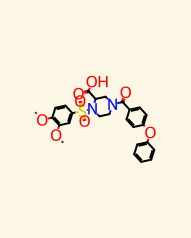 COc1ccc(S(=O)(=O)N2CCN(C(=O)c3ccc(Oc4ccccc4)cc3)CC2C(=O)O)cc1OC